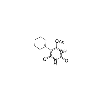 CC(=O)Oc1[nH]c(=O)[nH]c(=O)c1C1=CCCCC1